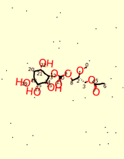 CO[C@H](COC(C)=O)COC(=O)O[C@@H]1[C@@H](O)[C@H](O)[C@@H](O)C[C@@H]1O